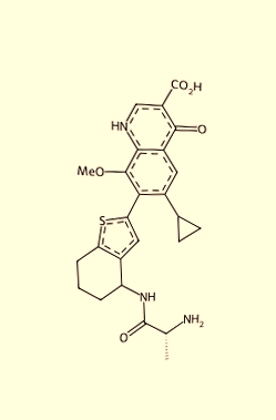 COc1c(-c2cc3c(s2)CCCC3NC(=O)[C@@H](C)N)c(C2CC2)cc2c(=O)c(C(=O)O)c[nH]c12